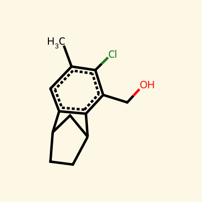 Cc1cc2c(c(CO)c1Cl)C1CCC2C1